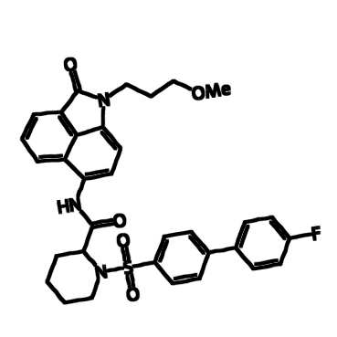 COCCCN1C(=O)c2cccc3c(NC(=O)C4CCCCN4S(=O)(=O)c4ccc(-c5ccc(F)cc5)cc4)ccc1c23